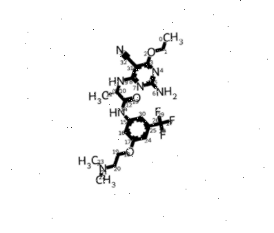 CCOc1nc(N)nc(N[C@@H](C)C(=O)Nc2cc(OCCN(C)C)cc(C(F)(F)F)c2)c1C#N